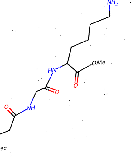 CCCCCCCCCCCCC(=O)NCC(=O)NC(CCCCN)C(=O)OC